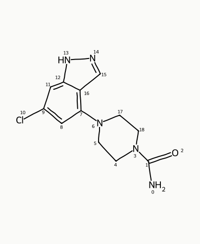 NC(=O)N1CCN(c2cc(Cl)cc3[nH]ncc23)CC1